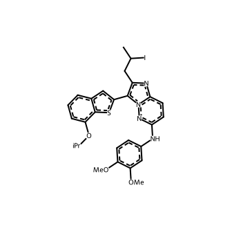 COc1ccc(Nc2ccc3nc(CC(C)I)c(-c4cc5cccc(OC(C)C)c5s4)n3n2)cc1OC